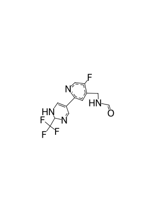 O=CNCc1cc(C2=CNC(C(F)(F)F)N=C2)ncc1F